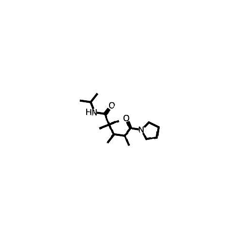 CC(C)NC(=O)C(C)(C)C(C)C(C)C(=O)N1CCCC1